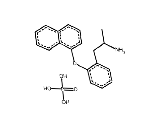 CC(N)Cc1ccccc1Oc1cccc2ccccc12.O=P(O)(O)O